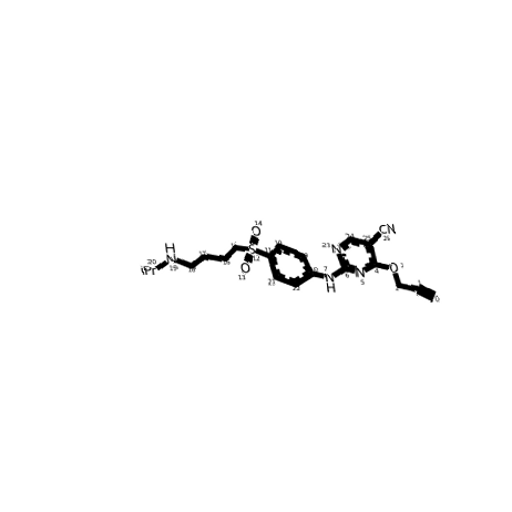 C#CCOc1nc(Nc2ccc(S(=O)(=O)CCCCNC(C)C)cc2)ncc1C#N